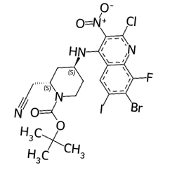 CC(C)(C)OC(=O)N1CC[C@H](Nc2c([N+](=O)[O-])c(Cl)nc3c(F)c(Br)c(I)cc23)C[C@H]1CC#N